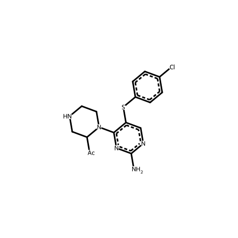 CC(=O)C1CNCCN1c1nc(N)ncc1Sc1ccc(Cl)cc1